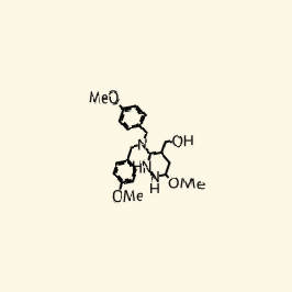 COc1ccc(CN(Cc2ccc(OC)cc2)C2NNC(OC)CC2CO)cc1